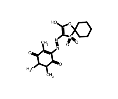 CC1=C(N=NC2=C(O)OC3(CCCCC3)S2(=O)=O)C(=O)C(C)C(C)C1=O